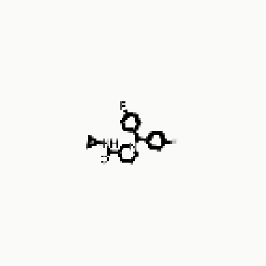 O=C(NC1CC1)C1CCCN(C(c2ccc(F)cc2)c2ccc(F)cc2)C1